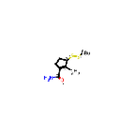 CCCCSSC1CCC(C(N)=O)=C1C